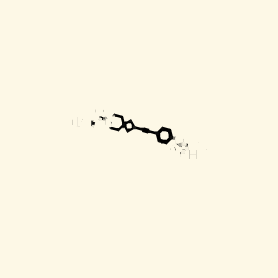 CC(C)(C)OC(=O)N1CCC2(CC1)CC(C#Cc1ccc(O[Si](C)(C)C(C)(C)C)cc1)C2